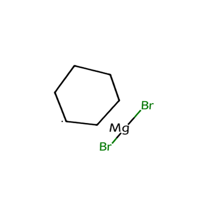 [Br][Mg][Br].[CH]1CCCCC1